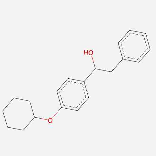 OC(Cc1ccccc1)c1ccc(OC2CCCCC2)cc1